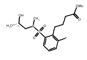 CC(C)COC(=O)CCCc1c(F)cccc1S(=O)(=O)N(C)C[C@H](C)O